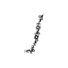 C=CC(=O)OCCCCOc1ccc(/C=C/C(=O)Oc2ccc(OCCCCCCOC(=O)C(=C)CO)cc2)cc1